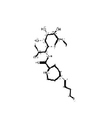 CS[C@H]1O[C@H]([C@H](NC(=O)C2CC[C@H](CCCCF)CCN2)[C@H](C)Cl)[C@H](O)[C@H](O)[C@H]1O